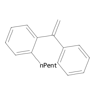 C=C(c1ccccc1)c1ccccc1CCCCC